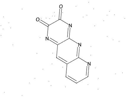 O=C1N=c2cc3cccnc3nc2=NC1=O